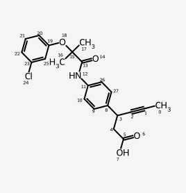 CC#CC(CC(=O)O)c1ccc(NC(=O)C(C)(C)Oc2cccc(Cl)c2)cc1